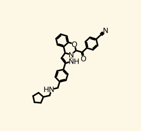 N#Cc1ccc(C(=O)C2Oc3ccccc3C3C=C(c4ccc(CNCC5CCCC5)cc4)NN23)cc1